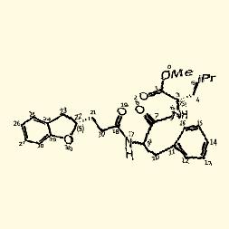 COC(=O)[C@H](CC(C)C)NC(=O)C(Cc1ccccc1)NC(=O)CC[C@H]1Cc2ccccc2O1